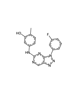 Cc1ccc(Nc2ncc3nnn(-c4cccc(F)c4)c3n2)cc1O